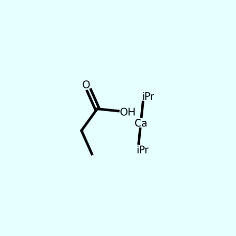 CCC(=O)O.C[CH](C)[Ca][CH](C)C